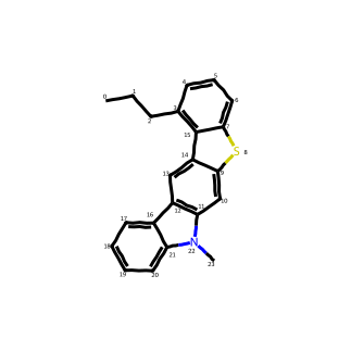 CCCc1cccc2sc3cc4c(cc3c12)c1ccccc1n4C